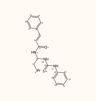 CC(C)CC(NC(=O)C=Cc1ccccc1)NC(=S)Nc1ccccc1